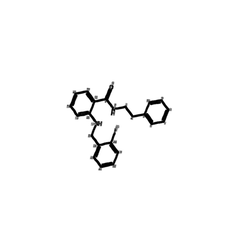 O=C(NCCc1ccccc1)c1ccccc1NCc1ccccc1F